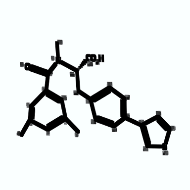 Cc1cc(C)cc(C(=O)N(C)[C@@H](Cc2ccc(-c3ccsc3)cc2)C(=O)O)c1